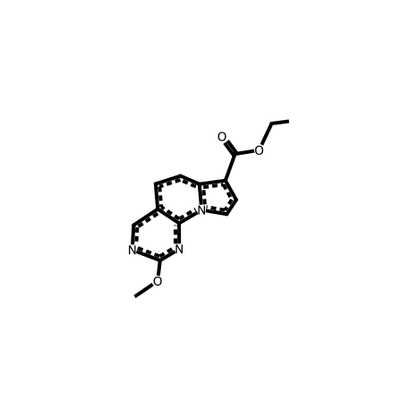 CCOC(=O)c1ccn2c1ccc1cnc(OC)nc12